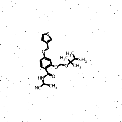 CC(C#N)NC(=O)c1ccc(OCc2ccsc2)cc1OCOC(C)(C)C(C)[SiH3]